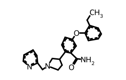 CCc1ccccc1Oc1ccc(C2CCN(Cc3ccccn3)C2)c(C(N)=O)c1